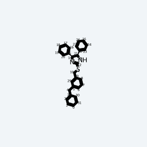 c1ccc(Cc2cccc(CSC3=N[C@@H](c4ccccc4)[C@@H](c4ccccc4)N3)c2)cc1